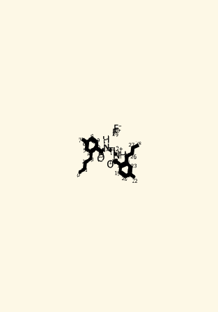 CCCCc1cc(C)ccc1C(=O)[NH][Ti+2][NH]C(=O)c1ccc(C)cc1CCCC.[F-].[F-]